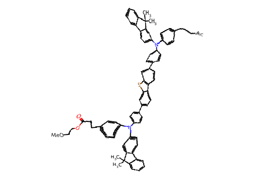 COCCOC(=O)CCc1ccc(N(c2ccc(-c3ccc4c(c3)sc3cc(-c5ccc(N(c6ccc(CCC(C)=O)cc6)c6ccc7c(c6)C(C)(C)c6ccccc6-7)cc5)ccc34)cc2)c2ccc3c(c2)C(C)(C)c2ccccc2-3)cc1